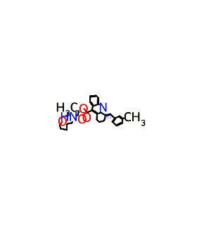 Cc1cccc(/C=C2\CCCc3c2nc2ccccc2c3C(=O)OC(C)C(=O)NCC2CCCO2)c1